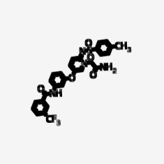 Cc1ccc(S(=O)(=O)/N=c2/ccc(Oc3cccc(NC(=O)c4cccc(C(F)(F)F)c4)c3)cn2CC(N)=O)cc1